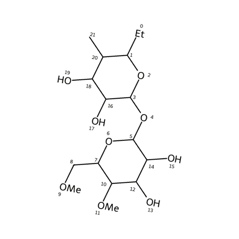 CCC1OC(OC2OC(COC)C(OC)C(O)C2O)C(O)C(O)C1C